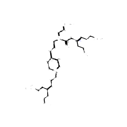 CCCCCCCCCCCC/C=C(\CCCCCCCCCCCC)CC(=O)N(CCC=C1CCN(CCC=C(CCCCCCCCCCCC)CCCCCCCCCCCC)CC1)CCCCCCCCCCCC